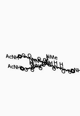 CNCCC(=O)NC(COCCC(=O)NCCCNC(=O)CCCOc1ccc(NC(C)=O)cc1)(COCCC(=O)NCCCNC(=O)CCCOc1ccc(NC(C)=O)cc1)COCCC(=O)NCCCNC(=O)CCCOc1ccc(NC(C)=O)cc1